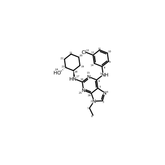 CCn1cnc2c(Nc3cccc(Cl)c3)nc(N[C@@H]3CCCC[C@H]3O)nc21